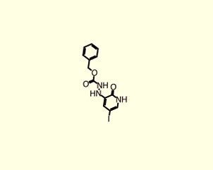 O=C(NNc1cc(I)c[nH]c1=O)OCc1ccccc1